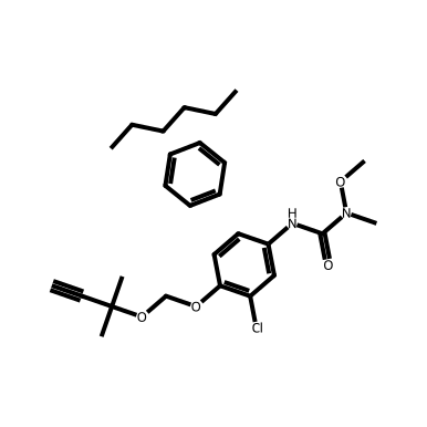 C#CC(C)(C)OCOc1ccc(NC(=O)N(C)OC)cc1Cl.CCCCCC.c1ccccc1